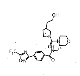 O=C(NC[C@H]1COCCN1C(=O)N1CCC(CCO)C1)c1ccc(-c2noc(C(F)(F)F)n2)cc1